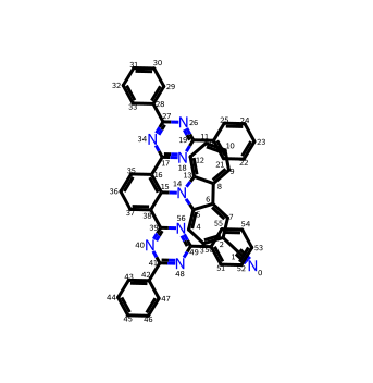 N#Cc1ccc2c(c1)c1ccccc1n2-c1c(-c2nc(-c3ccccc3)nc(-c3ccccc3)n2)cccc1-c1nc(-c2ccccc2)nc(-c2ccccc2)n1